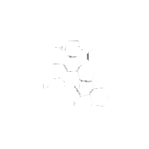 Cc1c(-c2c([C@H](OC(C)(C)C)C(=O)O)c(C)c3c4c2cc(C)n4CCN3C)cc(F)c2c1CCCO2